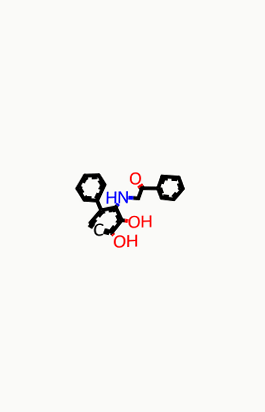 O=C(CNc1c(-c2ccccc2)ccc(O)c1O)c1ccccc1